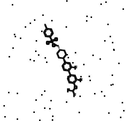 Cc1ccc(S(=O)(=O)OC[C@H]2CC[C@H](c3ccc(-c4ccc(OC(F)F)c(F)c4)c(F)c3)CC2)cc1